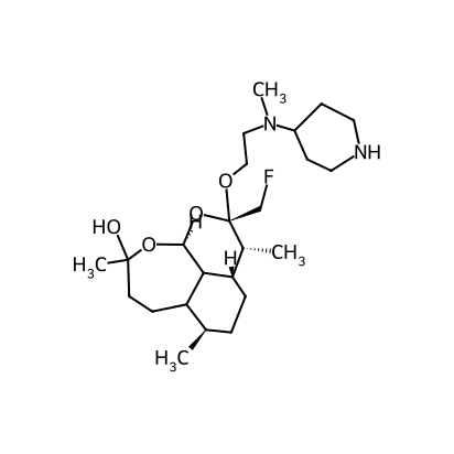 C[C@@H]1CC[C@@H]2C3C1CCC(C)(O)O[C@H]3O[C@](CF)(OCCN(C)C1CCNCC1)[C@@H]2C